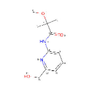 COC(C)(C)C(=O)Nc1cccc(CO)n1